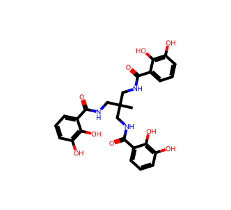 CC(CNC(=O)c1cccc(O)c1O)(CNC(=O)c1cccc(O)c1O)CNC(=O)c1cccc(O)c1O